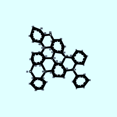 c1ccc(N2c3ccccc3B3c4ccc5c6c4N4c7c(ccc8c7B(c7ccccc7O8)c7ccc2c3c74)B6c2ccccc2O5)cc1